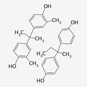 CCC(C)(c1ccc(O)cc1)c1ccc(O)cc1.Cc1cc(C(C)(C)c2ccc(O)c(C)c2)ccc1O